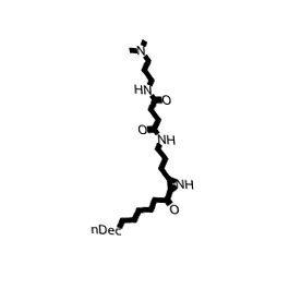 CCCCCCCCCCCCCCCC(=O)C1NC1CCCNC(=O)CCC(=O)NCCCN(C)C